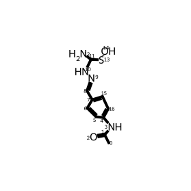 CC(=O)Nc1ccc(/C=N/NC(N)SO)cc1